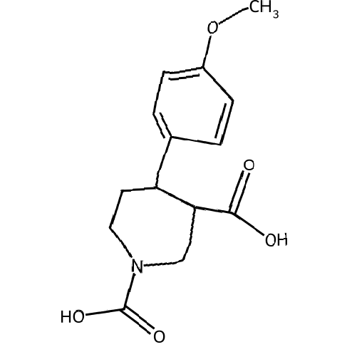 COc1ccc(C2CCN(C(=O)O)CC2C(=O)O)cc1